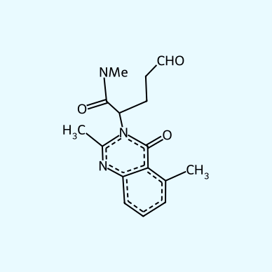 CNC(=O)C(CCC=O)n1c(C)nc2cccc(C)c2c1=O